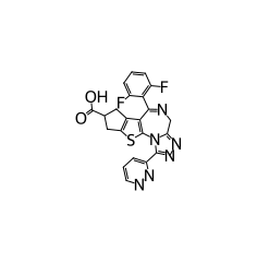 O=C(O)C1Cc2sc3c(c2C1)C(c1c(F)cccc1F)=NCc1nnc(-c2cccnn2)n1-3